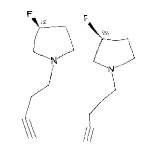 C#CCCN1CC[C@H](F)C1.C#CCCN1CC[C@H](F)C1